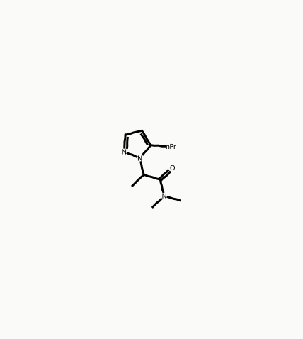 CCCc1ccnn1C(C)C(=O)N(C)C